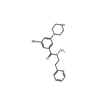 CN(CCc1ccccn1)C(=O)c1cc(N2CCNCC2)cc(C(C)(C)C)c1